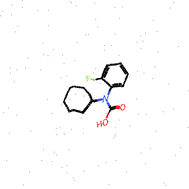 O=C(O)N(c1ccccc1F)C1CCCCC1